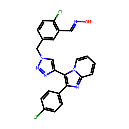 O/N=C/c1cc(Cn2cc(-c3c(-c4ccc(Cl)cc4)nc4ccccn34)nn2)ccc1Cl